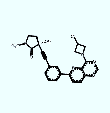 CN1CC[C@@](O)(C#Cc2cccc(-c3ccc4ncnc(N5CC(Cl)C5)c4n3)c2)C1=O